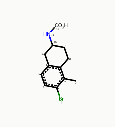 Cc1c(Br)ccc2c1CCC(NC(=O)O)C2